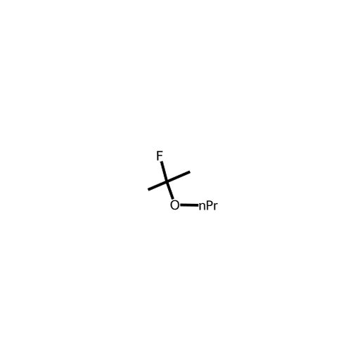 CCCOC(C)(C)F